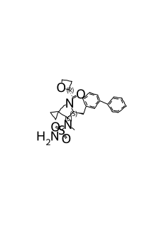 CN([C@@H]1[C@H](Cc2cccc(-c3ccccc3)c2)N(C(=O)[C@H]2CCO2)CC12CC2)S(N)(=O)=O